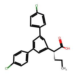 CCC[C@@H](C(=O)O)c1cc(-c2ccc(Cl)cc2)cc(-c2ccc(Cl)cc2)c1